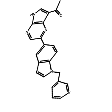 CC(C)(C)C(=O)c1c[nH]c2ncc(-c3ccc4c(ccn4Cc4cccnc4)c3)nc12